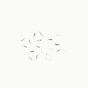 COC(=O)c1cc(Br)cn1CC1(CN=P(c2ccccc2)(c2ccccc2)c2ccccc2)CCC1